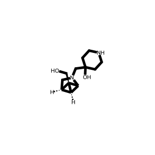 OC[C@@]12C3[C@H]1[C@H]2CN3CC1(O)CCNCC1